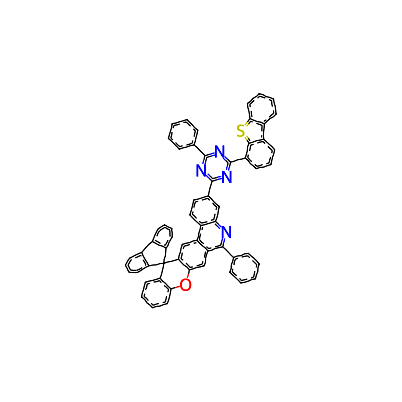 c1ccc(-c2nc(-c3ccc4c(c3)nc(-c3ccccc3)c3cc5c(cc34)C3(c4ccccc4O5)c4ccccc4-c4ccccc43)nc(-c3cccc4c3sc3ccccc34)n2)cc1